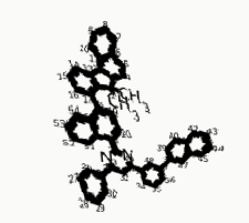 CC1(C)c2ccc3ccccc3c2-c2cccc(-c3ccc(-c4nc(-c5ccccc5)cc(-c5cccc(-c6ccc7ccccc7c6)c5)n4)c4ccccc34)c21